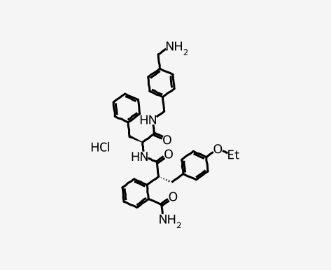 CCOc1ccc(C[C@@H](C(=O)N[C@@H](Cc2ccccc2)C(=O)NCc2ccc(CN)cc2)c2ccccc2C(N)=O)cc1.Cl